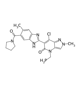 Cc1cc2nc(-c3c(Cl)c4nn(C)cc4n(CP)c3=O)[nH]c2cc1C(=O)N1CCCC1